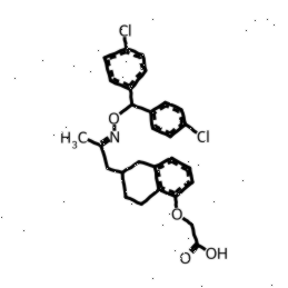 CC(CC1CCc2c(cccc2OCC(=O)O)C1)=NOC(c1ccc(Cl)cc1)c1ccc(Cl)cc1